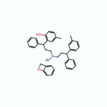 Cc1cccc(C(CCN(CCC(c2ccccc2)c2cc(C)ccc2O)C(C)C)c2ccccc2)c1.c1ccc2c(c1)CO2